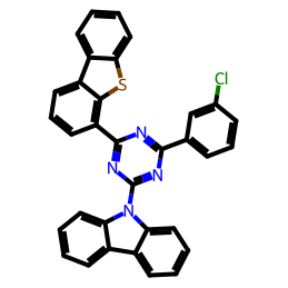 Clc1cccc(-c2nc(-c3cccc4c3sc3ccccc34)nc(-n3c4ccccc4c4ccccc43)n2)c1